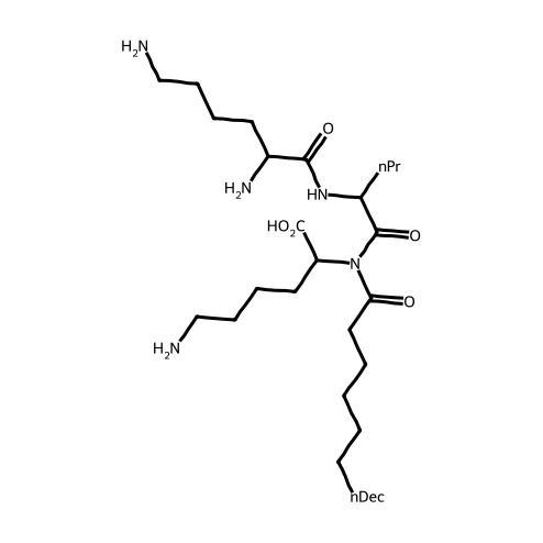 CCCCCCCCCCCCCCCC(=O)N(C(=O)C(CCC)NC(=O)C(N)CCCCN)C(CCCCN)C(=O)O